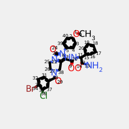 COc1ccc(-n2c(C(=O)NC(C(N)=O)c3ccccc3)c3n(c2=O)CCN(C(=O)c2ccc(Br)c(Cl)c2)C3)cc1